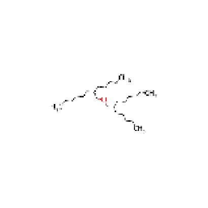 CCCCCCC(CCCCC)COCC(CCCCC)CCCCCC